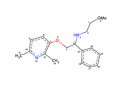 COCCNC(COc1ccc(C)nc1C)c1ccccc1